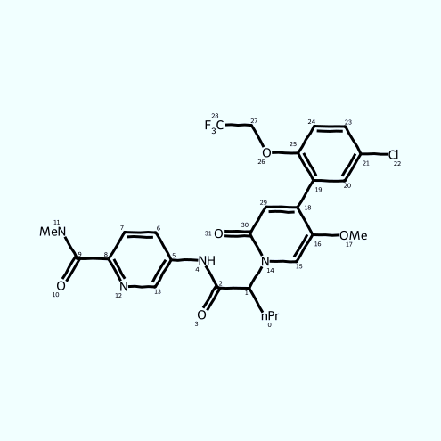 CCCC(C(=O)Nc1ccc(C(=O)NC)nc1)n1cc(OC)c(-c2cc(Cl)ccc2OCC(F)(F)F)cc1=O